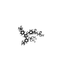 CC(C)Oc1ccc(C(F)(F)F)cc1-n1cc(-c2ccc(OC(F)(F)F)cc2)c(Oc2ccc(C(=O)NCCC(=O)O)cc2)n1